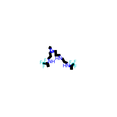 C=CN(CCCNCCCNC(=C)C(F)(F)F)CCCNC(=C)C(F)(F)F